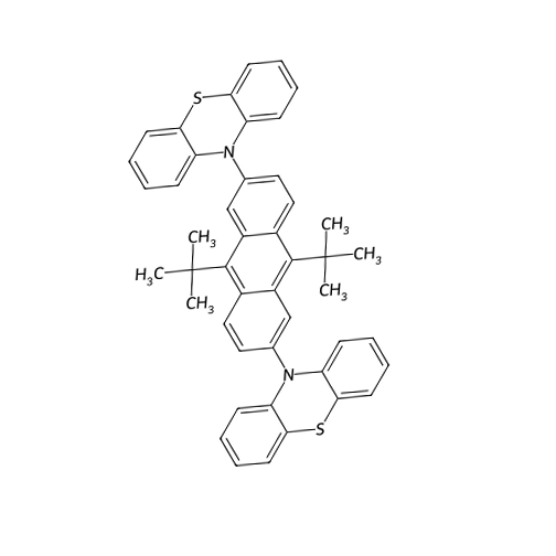 CC(C)(C)c1c2ccc(N3c4ccccc4Sc4ccccc43)cc2c(C(C)(C)C)c2ccc(N3c4ccccc4Sc4ccccc43)cc12